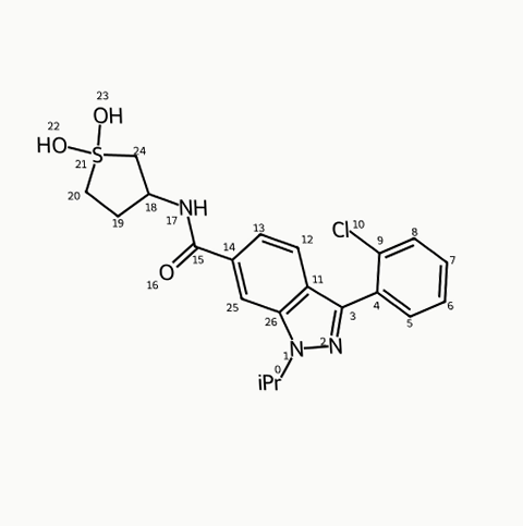 CC(C)n1nc(-c2ccccc2Cl)c2ccc(C(=O)NC3CCS(O)(O)C3)cc21